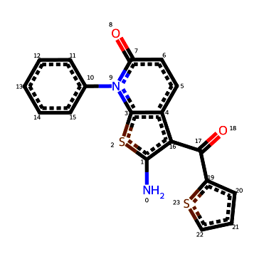 Nc1sc2c(ccc(=O)n2-c2ccccc2)c1C(=O)c1cccs1